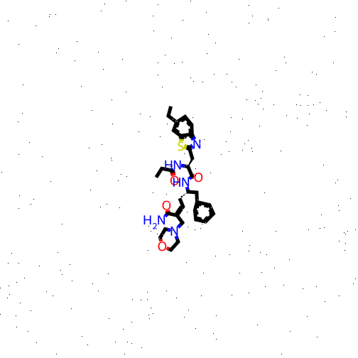 CCC(=O)N[C@@H](Cc1nc2ccc(CC)cc2s1)C(=O)N[C@@H](CC=C(CN1CCOCC1)C(N)=O)Cc1ccccc1